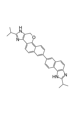 CC(C)c1nc2c([nH]1)COc1c-2ccc2cc(-c3ccc4c(ccc5nc(C(C)C)[nH]c54)c3)ccc12